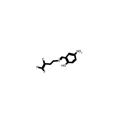 O=[N+]([O-])c1ccc(O)c(/C=N/CCC(F)=C(F)F)c1